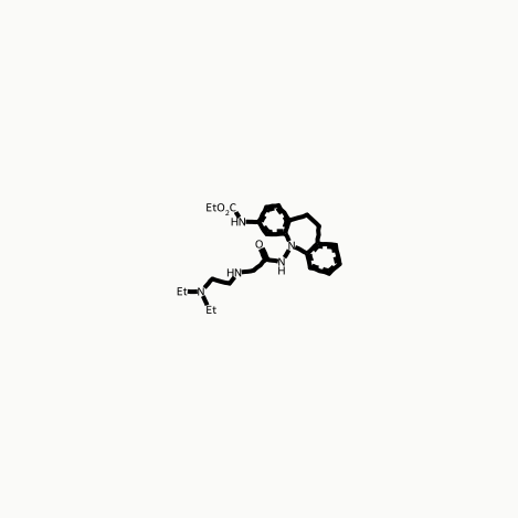 CCOC(=O)Nc1ccc2c(c1)N(NC(=O)CNCCN(CC)CC)c1ccccc1CC2